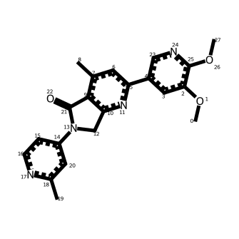 COc1cc(-c2cc(C)c3c(n2)CN(c2ccnc(C)c2)C3=O)cnc1OC